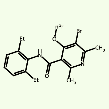 CCCOc1c(Br)c(C)nc(C)c1C(=O)Nc1c(CC)cccc1CC